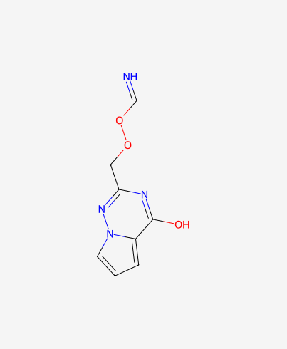 N=COOCc1nc(O)c2cccn2n1